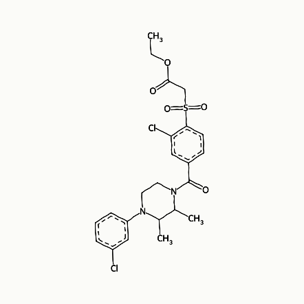 CCOC(=O)CS(=O)(=O)c1ccc(C(=O)N2CCN(c3cccc(Cl)c3)C(C)C2C)cc1Cl